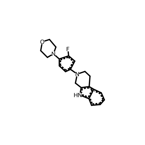 Fc1cc(N2CCc3c([nH]c4ccccc34)C2)ccc1N1CCOCC1